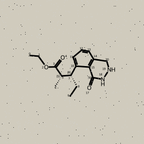 CCOC(=O)[C@@H](C)[C@@H](CC)c1cccc2c1C(=O)NNC2